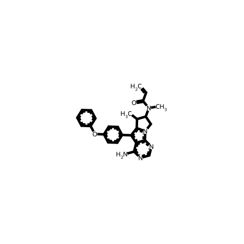 C=CC(=O)N(C)C1Cn2c(c(-c3ccc(Oc4ccccc4)cc3)c3c(N)ncnc32)C1C